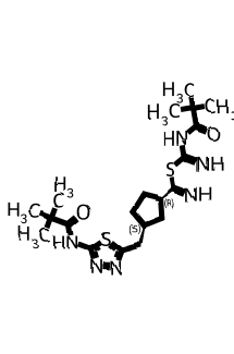 CC(C)(C)C(=O)NC(=N)SC(=N)[C@@H]1CC[C@H](Cc2nnc(NC(=O)C(C)(C)C)s2)C1